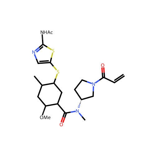 C=CC(=O)N1CC[C@@H](N(C)C(=O)C2CC(Sc3cnc(NC(C)=O)s3)C(C)CC2OC)C1